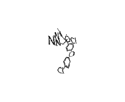 CC#CC(Cn1cncn1)(OC)c1ccc(Oc2ccc(Cl)cc2)cc1Cl